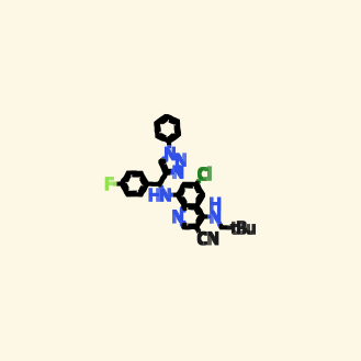 CC(C)(C)CNc1c(C#N)cnc2c(N[C@@H](c3ccc(F)cc3)c3cn(-c4ccccc4)nn3)cc(Cl)cc12